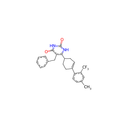 Cc1ccc(C2=CCC(c3[nH]c(=O)[nH]c(=O)c3Cc3ccccc3)CC2)c(C(F)(F)F)c1